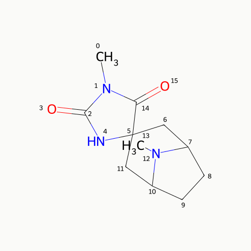 CN1C(=O)NC2(CC3CCC(C2)N3C)C1=O